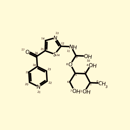 CC(O)C(O)C(CO)OC(O)Nc1ncc(C(=O)c2ccncc2)s1